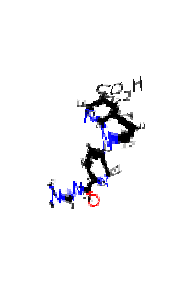 CN(C)/C=N/C(=O)c1ccc(-n2ccc3cc(C(=O)O)cnc32)cn1